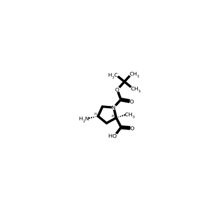 CC(C)(C)OC(=O)N1C[C@@H](N)C[C@]1(C)C(=O)O